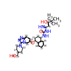 CC(C)(C)/C(O)=C/C(=N)NC(=O)N[C@H]1CC[C@@H](Oc2ccc3nnc(N4CCC(CO)CC4)n3c2)c2ccccc21